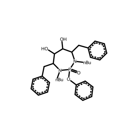 CCCCN1C(Cc2ccccc2)C(O)C(O)C(Cc2ccccc2)N(CCCC)P1(=O)Oc1ccccc1